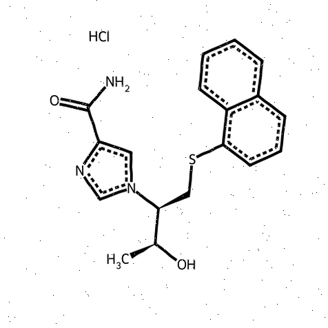 C[C@H](O)[C@H](CSc1cccc2ccccc12)n1cnc(C(N)=O)c1.Cl